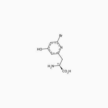 N[C@@H](Cc1cc(O)cc(Br)n1)C(=O)O